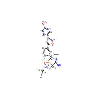 CC[C@@]1(c2cc(-c3cc(-c4cnc(OC)cn4)no3)ccc2F)CS(=O)(=NCC(F)(F)F)C(C)(C)C(N)=N1